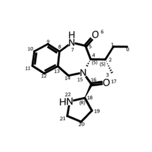 CC[C@H](C)[C@H]1C(=O)Nc2ccccc2CN1C(=O)[C@H]1CCCN1